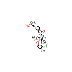 CC(O)C#Cc1ccc2c(c1)CC(C[C@H]1C(C)(C)[C@H](Oc3ccc(C#N)c(Cl)c3)C1(C)C)C2=O